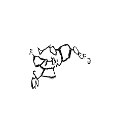 Fc1ccc(C2C(NCc3cc(OC(F)(F)F)ccc3OCC3CC3)CCC2c2nccs2)cc1